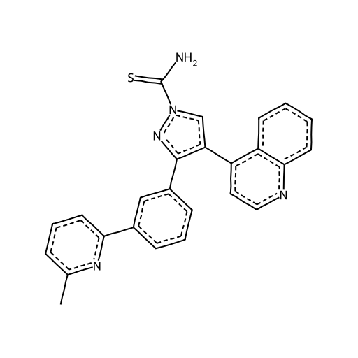 Cc1cccc(-c2cccc(-c3nn(C(N)=S)cc3-c3ccnc4ccccc34)c2)n1